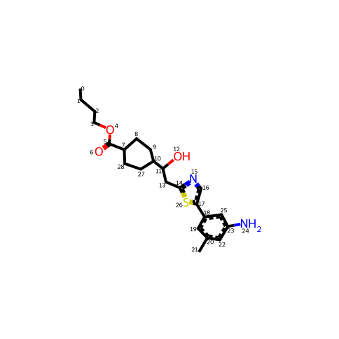 CCCCOC(=O)C1CCC(C(O)Cc2ncc(-c3cc(C)cc(N)c3)s2)CC1